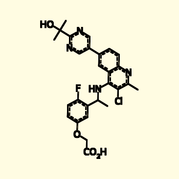 Cc1nc2ccc(-c3cnc(C(C)(C)O)nc3)cc2c(NC(C)c2cc(OCC(=O)O)ccc2F)c1Cl